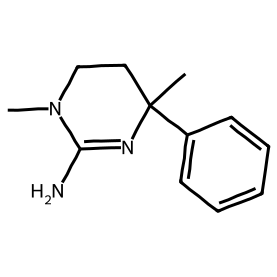 CN1CCC(C)(c2ccccc2)N=C1N